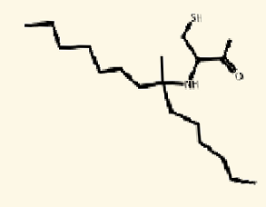 CCCCCCCC(C)(CCCCCC)NC(CS)C(C)=O